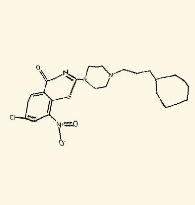 O=c1nc(N2CCN(CCCC3CCCCC3)CC2)sc2c([N+](=O)[O-])cc(Cl)cc12